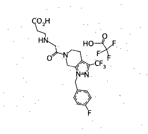 O=C(O)C(F)(F)F.O=C(O)CCNCC(=O)N1CCc2c(C(F)(F)F)nn(Cc3ccc(F)cc3)c2C1